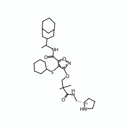 CC(NC(=O)c1onc(OCC(C)(C)C(=O)NC[C@@H]2CCCN2)c1SC1CCCCC1)C1CC2CCCC(C2)C1